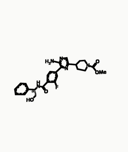 COC(=O)N1CCC(c2cnc(N)c(-c3ccc(C(=O)N[C@H](CO)c4ccccc4)c(F)c3)n2)CC1